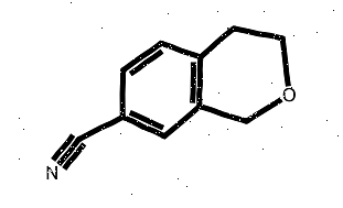 N#Cc1ccc2c(c1)COC[CH]2